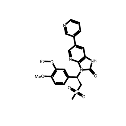 CCOc1cc([C@H](CS(C)(=O)=O)n2c(=O)[nH]c3cc(-c4cccnc4)cnc32)ccc1OC